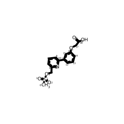 CS(=O)(=O)OCc1cccc(-c2cccc(OCC(=O)O)c2)n1